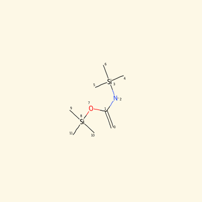 C=C([N][Si](C)(C)C)O[Si](C)(C)C